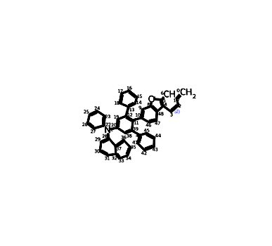 C=C/C=C\c1c(C)oc2cc(-c3c(-c4ccccc4)cc(N(c4ccccc4)c4cccc5ccccc45)cc3-c3ccccc3)ccc12